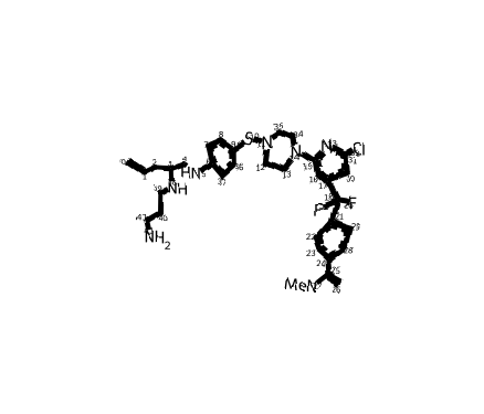 C=CCC(CNc1ccc(SN2CCN(c3cc(C(F)(F)c4ccc(C(=C)NC)cc4)cc(Cl)n3)CC2)cc1)NCCCN